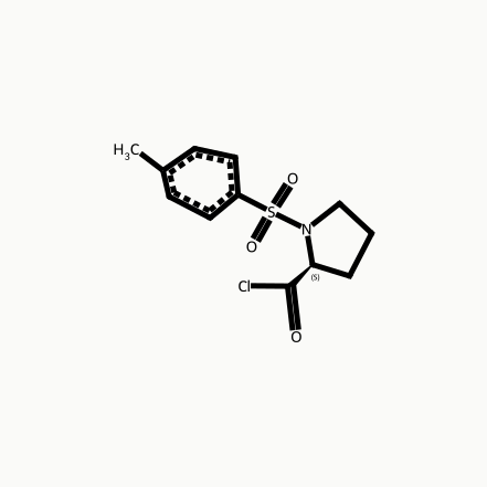 Cc1ccc(S(=O)(=O)N2CCC[C@H]2C(=O)Cl)cc1